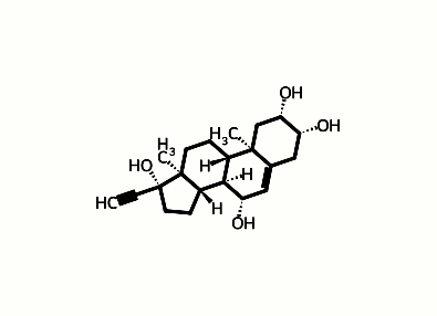 C#C[C@]1(O)CC[C@H]2[C@@H]3[C@@H](O)C=C4C[C@@H](O)[C@@H](O)C[C@]4(C)[C@H]3CC[C@@]21C